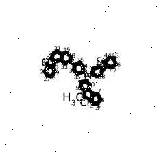 CC1(C)c2ccccc2-c2cc(N(c3ccc(-c4ccc5ccc6oc7ccccc7c6c5c4)cc3)c3ccc4c(c3)sc3ccccc34)ccc21